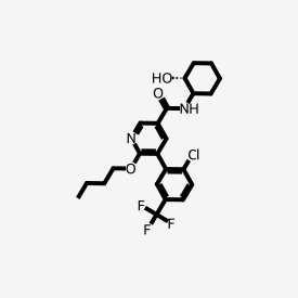 CCCCOc1ncc(C(=O)NC2CCCC[C@H]2O)cc1-c1cc(C(F)(F)F)ccc1Cl